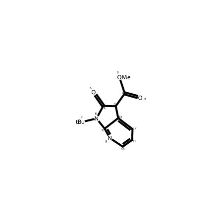 COC(=O)C1C(=O)N(C(C)(C)C)c2ncccc21